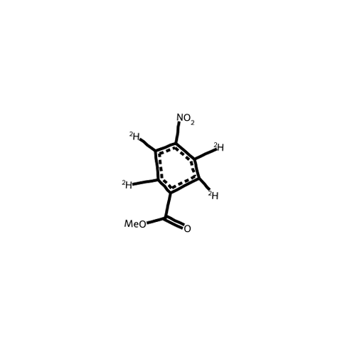 [2H]c1c([2H])c([N+](=O)[O-])c([2H])c([2H])c1C(=O)OC